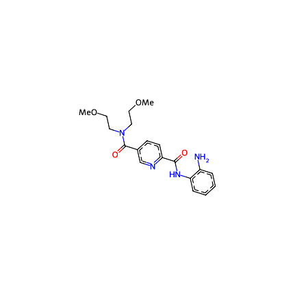 COCCN(CCOC)C(=O)c1ccc(C(=O)Nc2ccccc2N)nc1